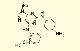 CCC(C)n1cnc2c(Nc3ccccc3)nc(NC3CCC(N)CC3)nc21.Cl.Cl